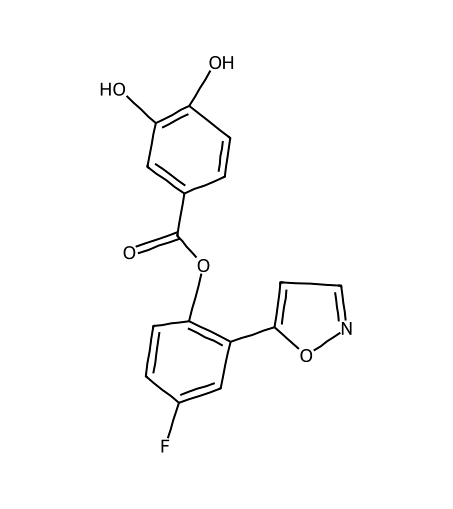 O=C(Oc1ccc(F)cc1-c1ccno1)c1ccc(O)c(O)c1